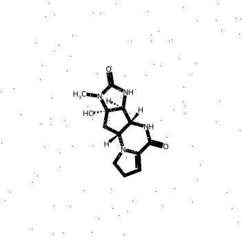 CN1C(=O)N[C@H]2[C@@H]3NC(=O)C4=CCCN4[C@@H]3C[C@]21O